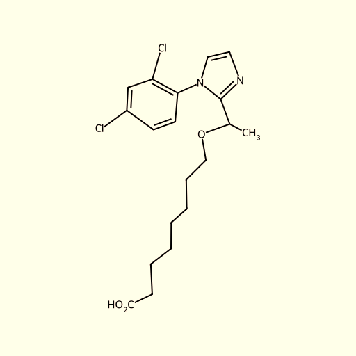 CC(OCCCCCCCC(=O)O)c1nccn1-c1ccc(Cl)cc1Cl